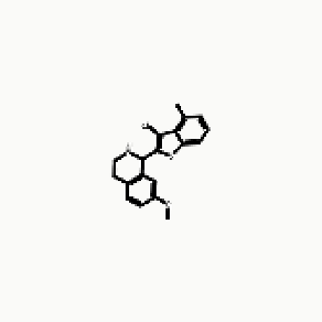 COc1ccc2c(c1)C(c1sc3cccc(C)c3c1Cl)NCC2